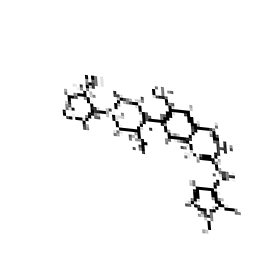 Cc1c(Nc2ncc3cc(Cl)c([C@@H]4CCN(C5COC[C@H]5O)CC4F)cc3n2)ccn1C